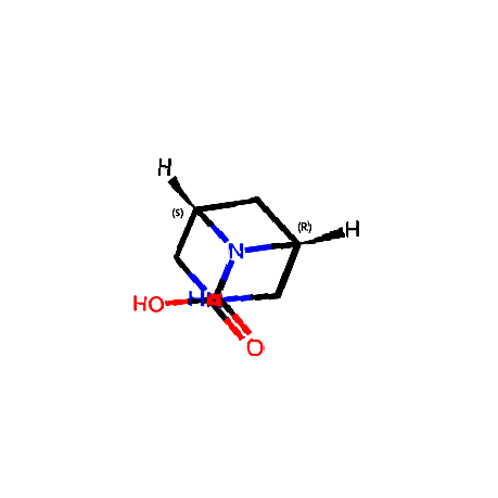 O=C(O)N1[C@@H]2CNC[C@H]1C2